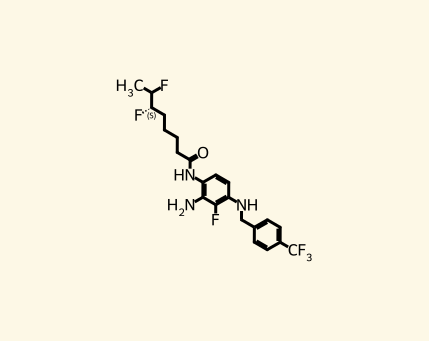 CC(F)[C@@H](F)CCCCC(=O)Nc1ccc(NCc2ccc(C(F)(F)F)cc2)c(F)c1N